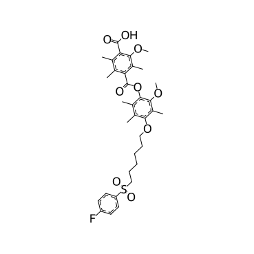 COc1c(C)c(OCCCCCCS(=O)(=O)c2ccc(F)cc2)c(C)c(C)c1OC(=O)c1c(C)c(C)c(C(=O)O)c(OC)c1C